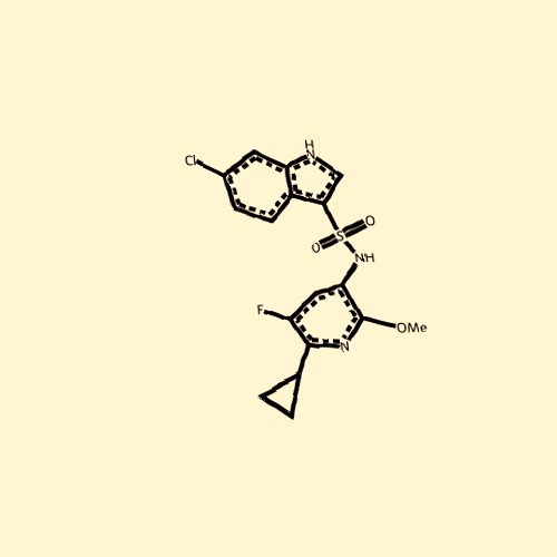 COc1nc(C2CC2)c(F)cc1NS(=O)(=O)c1c[nH]c2cc(Cl)ccc12